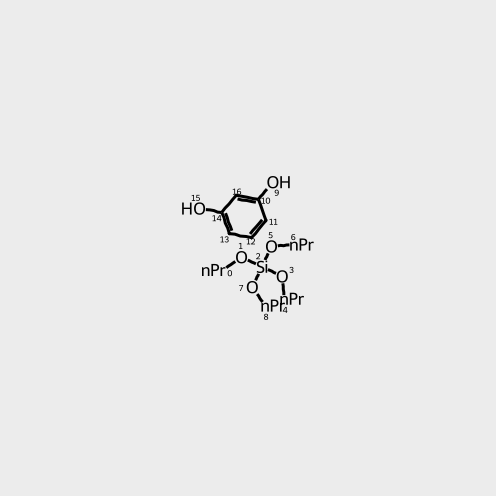 CCCO[Si](OCCC)(OCCC)OCCC.Oc1cccc(O)c1